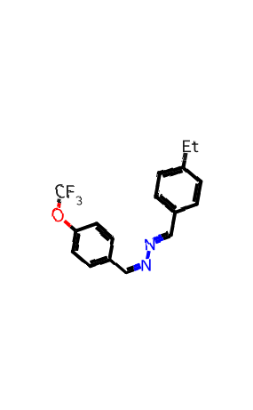 CCc1ccc(/C=N/N=C\c2ccc(OC(F)(F)F)cc2)cc1